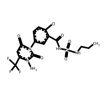 CCCNS(=O)(=O)NC(=O)c1cc(-n2c(=O)cc(C(F)(F)F)n(N)c2=O)ccc1Cl